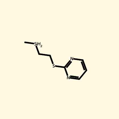 C[SiH2]CCSc1ncccn1